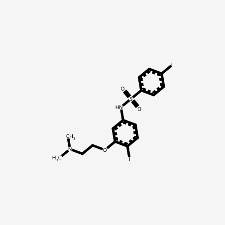 CN(C)CCOc1cc(NS(=O)(=O)c2ccc(I)cc2)ccc1I